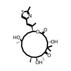 C/C(=C\c1csc(C)n1)[C@@H]1CC[C@](C)(O)CCC[C@H](C)[C@H](O)[C@@H](C)C(=O)C(C)(C)[C@@H](O)CC(=O)O1